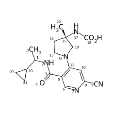 CC(NC(=O)c1cnc(C#N)cc1N1CC[C@](C)(NC(=O)O)C1)C1CC1